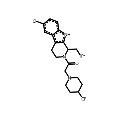 CC(C)CC1c2[nH]c3ccc(Cl)cc3c2CCN1C(=O)CN1CCC(C(F)(F)F)CC1